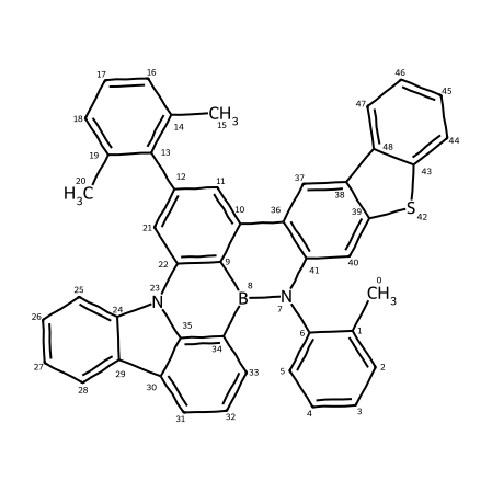 Cc1ccccc1N1B2c3c(cc(-c4c(C)cccc4C)cc3-n3c4ccccc4c4cccc2c43)-c2cc3c(cc21)sc1ccccc13